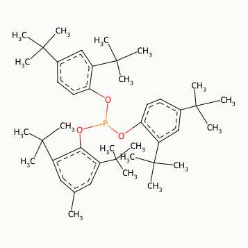 Cc1cc(C(C)(C)C)c(OP(Oc2ccc(C(C)(C)C)cc2C(C)(C)C)Oc2ccc(C(C)(C)C)cc2C(C)(C)C)c(C(C)(C)C)c1